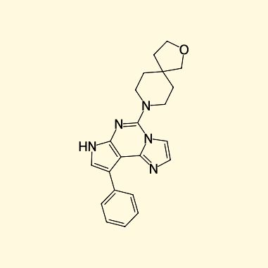 c1ccc(-c2c[nH]c3nc(N4CCC5(CCOC5)CC4)n4ccnc4c23)cc1